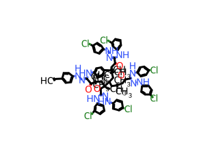 C#Cc1ccc(NN=C(Nc2ccc(C#C)cc2)C(=O)C(C)(C)CC(CC)(C(=O)C(=NNc2ccc(Cl)cc2)Nc2cccc(Cl)c2)C(C)(CC(C)(C)CC(=O)C(=NNc2ccc(Cl)cc2)Nc2ccc(Cl)cc2)CC(C)(C)CC(=O)C(=NNc2ccc(Cl)cc2)Nc2cccc(Cl)c2)cc1